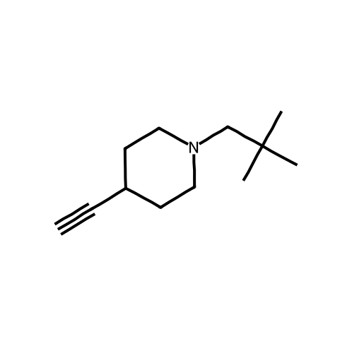 C#CC1CCN(CC(C)(C)C)CC1